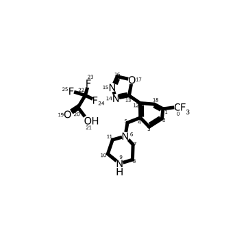 FC(F)(F)c1ccc(CN2CCNCC2)c(-c2nnco2)c1.O=C(O)C(F)(F)F